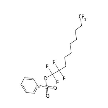 O=S(=O)(OC(F)(F)C(F)(F)CCCCCCCC(F)(F)F)[n+]1ccccc1